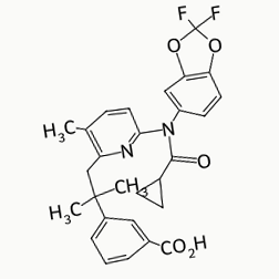 Cc1ccc(N(C(=O)C2CC2)c2ccc3c(c2)OC(F)(F)O3)nc1CC(C)(C)c1cccc(C(=O)O)c1